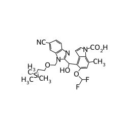 Cc1cc(OC(F)F)c(C(O)c2nc3ccc(C#N)cc3n2COCC[Si](C)(C)C)c2ccn(C(=O)O)c12